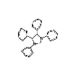 c1ccc(C2C(c3ccccc3)N(c3ccccc3)CN2c2ccccc2)cc1